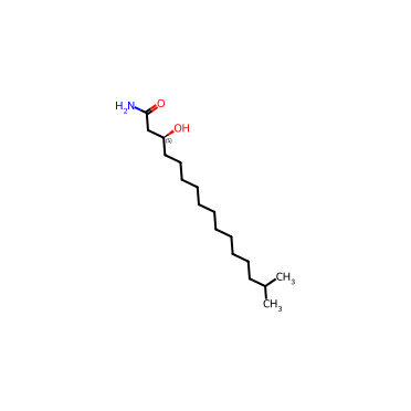 CC(C)CCCCCCCCCCC[C@H](O)CC(N)=O